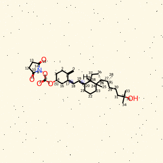 C=C1CC[C@H](OC(=O)ON2C(=O)CCC2=O)C/C1=C/C=C1\CCCC2(C)[C@@H]([C@H](C)CCCC(C)(C)O)CC[C@@H]12